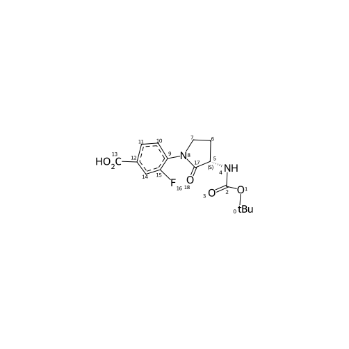 CC(C)(C)OC(=O)N[C@H]1CCN(c2ccc(C(=O)O)cc2F)C1=O